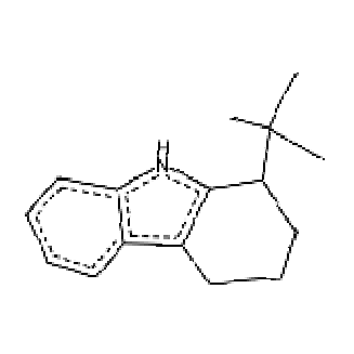 CC(C)(C)C1CCCc2c1[nH]c1ccccc21